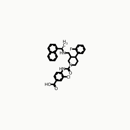 C[C@@H](NCC1CN(C(=O)Nc2ccc(C(=O)O)cc2Cl)CCC1c1ccccc1F)c1cccc2ccccc12